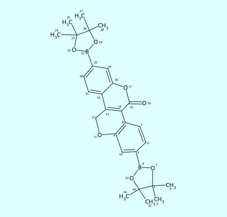 CC1(C)OB(c2ccc3c(c2)OCc2c-3c(=O)oc3cc(B4OC(C)(C)C(C)(C)O4)ccc23)OC1(C)C